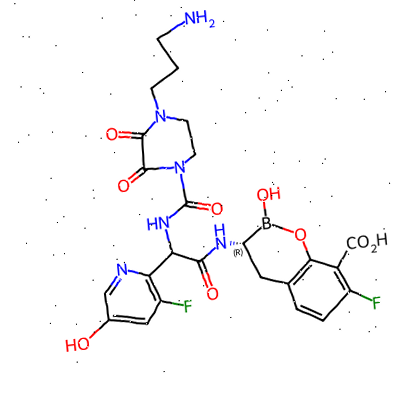 NCCCN1CCN(C(=O)NC(C(=O)N[C@H]2Cc3ccc(F)c(C(=O)O)c3OB2O)c2ncc(O)cc2F)C(=O)C1=O